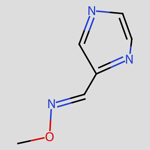 CON=Cc1cnccn1